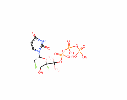 BC(B)(OP(=O)(O)OP(=O)(O)OP(=O)(O)O)[C@](F)(CO)O[C@H](CF)n1ccc(=O)[nH]c1=O